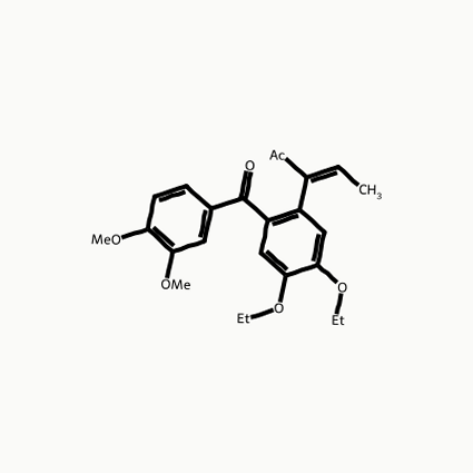 C/C=C(/C(C)=O)c1cc(OCC)c(OCC)cc1C(=O)c1ccc(OC)c(OC)c1